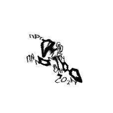 CCCc1ccc(C(N(c2ccc(CCC)cc2)[C@@H](Cc2ccc(-c3ccccc3)cc2)C(=O)NCCC(=O)O)P(=O)(O)O)cc1